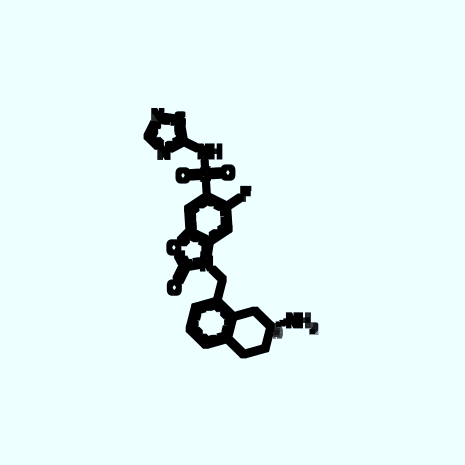 N[C@@H]1CCc2cccc(Cn3c(=O)oc4cc(S(=O)(=O)Nc5ncns5)c(F)cc43)c2C1